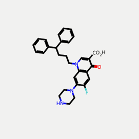 O=C(O)c1cn(CCCC(c2ccccc2)c2ccccc2)c2cc(N3CCNCC3)c(F)cc2c1=O